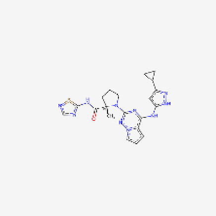 C[C@@]1(C(=O)Nc2ncns2)CCCN1c1nc(Nc2cc(C3CC3)n[nH]2)c2cccn2n1